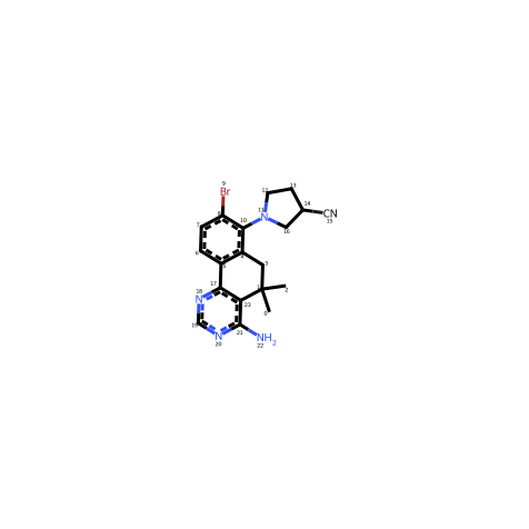 CC1(C)Cc2c(ccc(Br)c2N2CCC(C#N)C2)-c2ncnc(N)c21